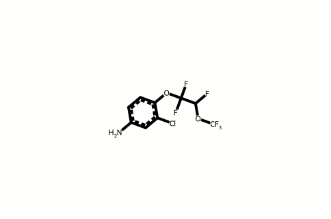 Nc1ccc(OC(F)(F)C(F)OC(F)(F)F)c(Cl)c1